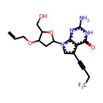 C=CCOC1CC(n2cc(C#CCC(F)(F)F)c3c(=O)[nH]c(N)nc32)OC1CO